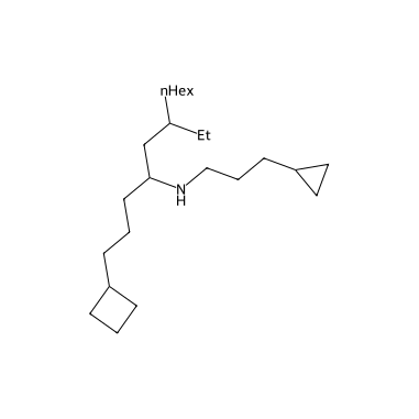 CCCCCCC(CC)CC(CCCC1CCC1)NCCCC1CC1